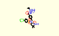 CC1(C)CCC(N(Cc2ccc(C(=O)NC3CC3)cc2)S(=O)(=O)c2ccc(Cl)cc2)C(=O)NC1